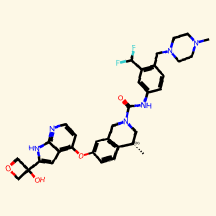 C[C@H]1CN(C(=O)Nc2ccc(CN3CCN(C)CC3)c(C(F)F)c2)Cc2cc(Oc3ccnc4[nH]c(C5(O)COC5)cc34)ccc21